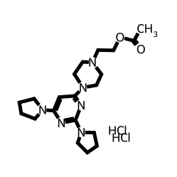 CC(=O)OCCN1CCN(c2cc(N3CCCC3)nc(N3CCCC3)n2)CC1.Cl.Cl